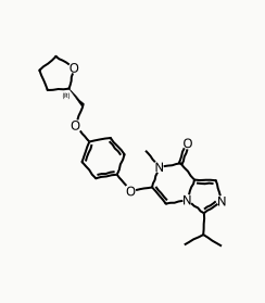 CC(C)c1ncc2c(=O)n(C)c(Oc3ccc(OC[C@H]4CCCO4)cc3)cn12